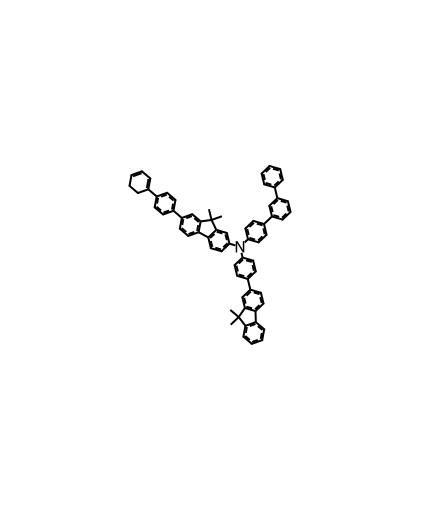 CC1(C)c2ccccc2-c2ccc(-c3ccc(N(c4ccc(-c5cccc(-c6ccccc6)c5)cc4)c4ccc5c(c4)C(C)(C)c4cc(-c6ccc(C7=CC=CCC7)cc6)ccc4-5)cc3)cc21